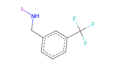 FC(F)(F)c1cccc(CNI)c1